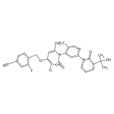 C/C(=C/C(OCc1ccc(C#N)cc1F)=C(\C)Cl)N(C=O)c1cc(-n2cccc(C(C)(C)O)c2=O)ncc1C